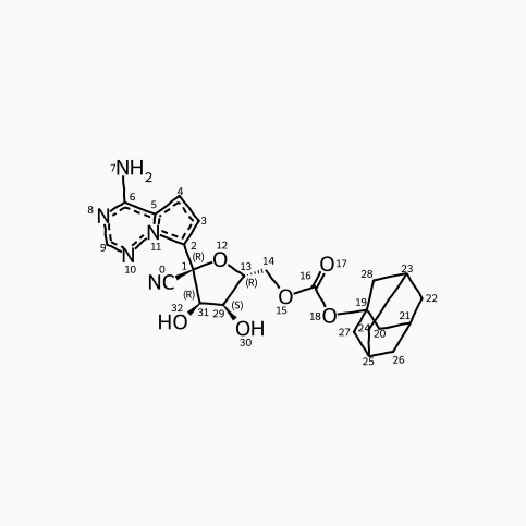 N#C[C@@]1(c2ccc3c(N)ncnn23)O[C@H](COC(=O)OC23CC4CC(CC(C4)C2)C3)[C@@H](O)[C@H]1O